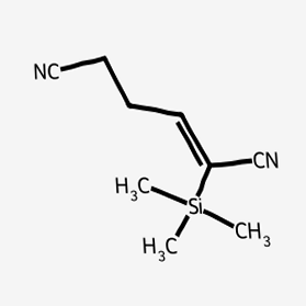 C[Si](C)(C)C(C#N)=CCCC#N